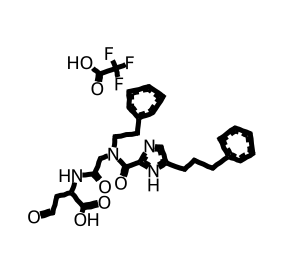 O=C(O)C(F)(F)F.O=CCC(NC(=O)CN(CCc1ccccc1)C(=O)c1ncc(CCCc2ccccc2)[nH]1)C(=O)O